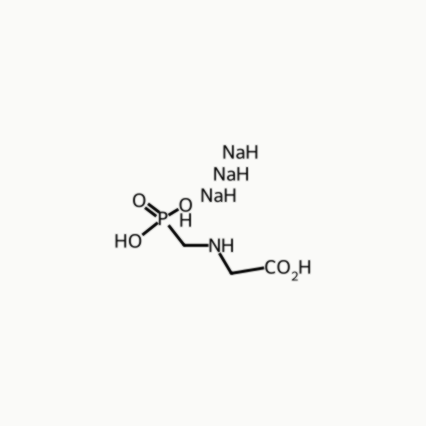 O=C(O)CNCP(=O)(O)O.[NaH].[NaH].[NaH]